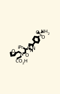 CC(C)C(C(=O)N(CCC(=O)O)Cc1ccco1)n1cc(-c2ccc(S(N)(=O)=O)cc2)nn1